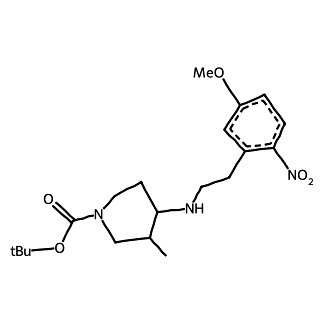 COc1ccc([N+](=O)[O-])c(CCNC2CCN(C(=O)OC(C)(C)C)CC2C)c1